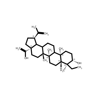 C=C(C)[C@@H]1CC[C@]2(C(=C)O)CC[C@]3(C)C(CCC4[C@@]5(C)CC[C@H](O)[C@@](C)(CC)[C@@H]5CC[C@]43C)C12